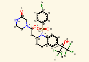 O=C1CN(C(=O)C[C@@H]2CCc3cc(C(O)(C(F)(F)F)C(F)(F)F)ccc3N2S(=O)(=O)c2ccc(F)cc2)CCN1